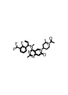 C=C[C@H](c1cccc(C(F)F)c1F)N(C)c1nc(C)nc2cc(=O)n(C3CCN(C(C)=O)[C@H](C)C3)cc12